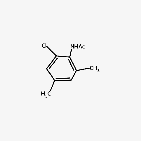 CC(=O)Nc1c(C)cc(C)cc1Cl